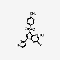 Cc1ccc(S(=O)(=O)n2cc(-c3cc[nH]n3)c3cc(Br)cnc32)cc1.Cl